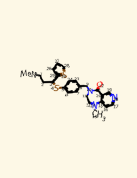 CNCCC(Sc1ccc(CN2CCN(C)c3ccncc3C2=O)cc1)c1cccs1